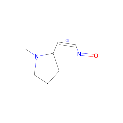 CN1CCCC1/C=C\N=O